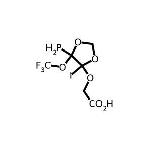 O=C(O)COC1(I)OCOC1(P)OC(F)(F)F